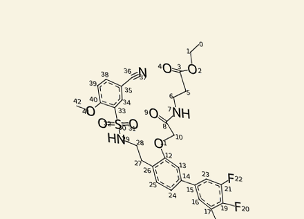 CCOC(=O)CCNC(=O)COc1cc(-c2cc(F)c(F)c(F)c2)ccc1CCNS(=O)(=O)c1cc(C#N)ccc1OC